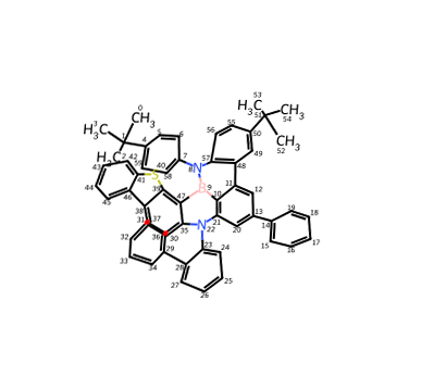 CC(C)(C)c1ccc(N2B3c4c(cc(-c5ccccc5)cc4N(c4ccccc4-c4ccccc4)c4ccc5c(sc6ccccc65)c43)-c3cc(C(C)(C)C)ccc32)cc1